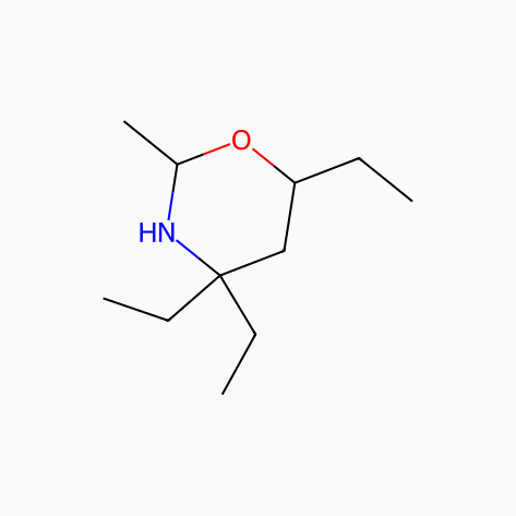 CCC1CC(CC)(CC)NC(C)O1